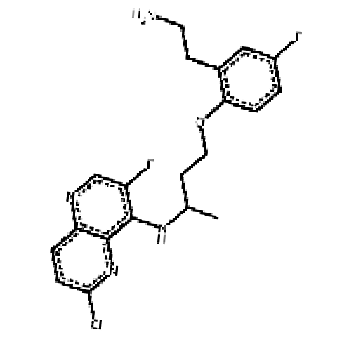 CC(CCOc1ccc(F)cc1CCN)Nc1c(F)cnc2ccc(Cl)nc12